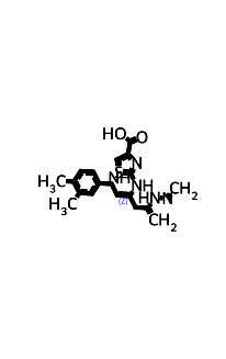 C=NNC(=C)C/C(=C/C(=N)c1ccc(C)c(C)c1)Nc1nc(C(=O)O)cs1